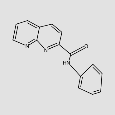 O=C(Nc1ccccc1)c1ccc2cccnc2n1